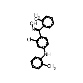 Cc1ccccc1Nc1ccc(C(=NO)c2ccccc2C)c(Cl)c1